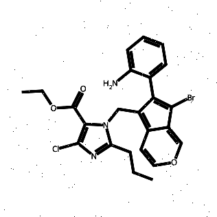 CCCc1nc(Cl)c(C(=O)OCC)n1Cc1c2ccocc-2c(Br)c1-c1ccccc1N